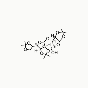 CC1(C)OCC([C@H]2OC(O[C@H]3[C@@H](CO)OC4OC(C)(C)O[C@@H]43)[C@H]3OC(C)(C)O[C@@H]23)O1